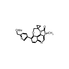 COCc1ccc(-c2ccc3ncc4c5c3c2OCC2(CC2)n5c(=O)n4C)cn1